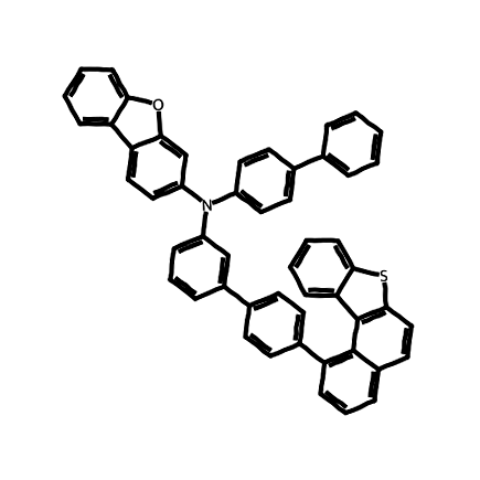 c1ccc(-c2ccc(N(c3cccc(-c4ccc(-c5cccc6ccc7sc8ccccc8c7c56)cc4)c3)c3ccc4c(c3)oc3ccccc34)cc2)cc1